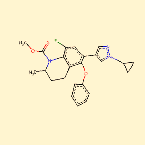 COC(=O)N1c2c(F)cc(-c3cnn(C4CC4)c3)c(Oc3ccccc3)c2CCC1C